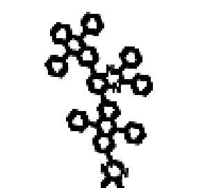 c1ccc(-c2nc3c(-c4ccc5c(-c6ccccc6)c6ccccc6c(-c6ccccc6)c5c4)ccc(-c4ccc5c(-c6ccccc6)c6cc(-c7cnc8ccccc8n7)ccc6c(-c6ccccc6)c5c4)c3nc2-c2ccccc2)cc1